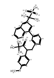 CSc1ccc(C(Cc2cccc(-c3cc(C(C)(C)S(C)(=O)=O)cc4cccnc34)c2)C(=O)C(C)(C)O)cc1